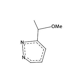 COC(C)c1cccnn1